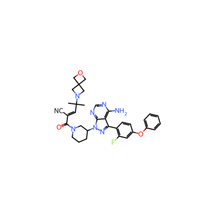 CC(C)(C=C(C#N)C(=O)N1CCCC(n2nc(-c3ccc(Oc4ccccc4)cc3F)c3c(N)ncnc32)C1)N1CC2(COC2)C1